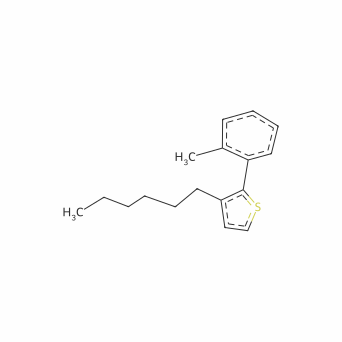 CCCCCCc1ccsc1-c1ccccc1C